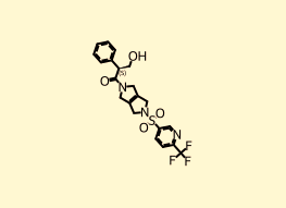 O=C([C@H](CO)c1ccccc1)N1CC2=C(C1)CN(S(=O)(=O)c1ccc(C(F)(F)F)nc1)C2